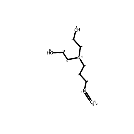 C=NCCCN(CCO)CCO